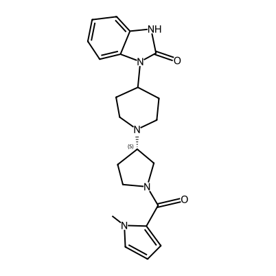 Cn1cccc1C(=O)N1CC[C@H](N2CCC(n3c(=O)[nH]c4ccccc43)CC2)C1